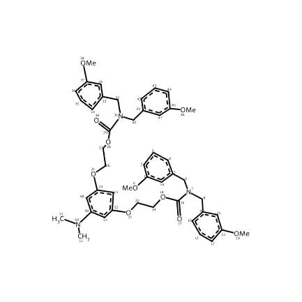 COc1cccc(CN(Cc2cccc(OC)c2)C(=O)OCCOc2cc(OCCOC(=O)N(Cc3cccc(OC)c3)Cc3cccc(OC)c3)cc(N(C)C)c2)c1